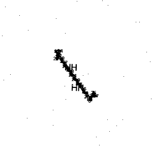 CN(CCCCNCCCCCCCCNCCCCN(C)C1CC1)C1CC1